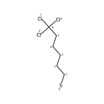 [S]CCCCCC(Cl)(Cl)Cl